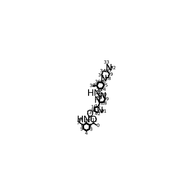 CCc1cccc(CC)c1NC(=O)Oc1cc(-c2ccnc(Nc3ccc(N4CCC(N(C)C)CC4)cc3C)n2)n(C)c1